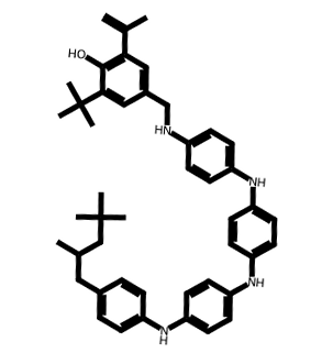 C=C(C)c1cc(CNc2ccc(Nc3ccc(Nc4ccc(Nc5ccc(CC(C)CC(C)(C)C)cc5)cc4)cc3)cc2)cc(C(C)(C)C)c1O